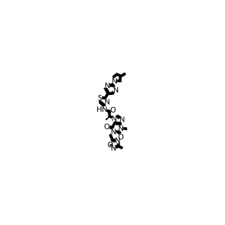 Cc1noc(Cn2c(=O)c3c(ncn3[C@@H](C)C(=O)Nc3csc(-c4cnc(N5CCC(C)C5)nc4)n3)n(C)c2=O)n1